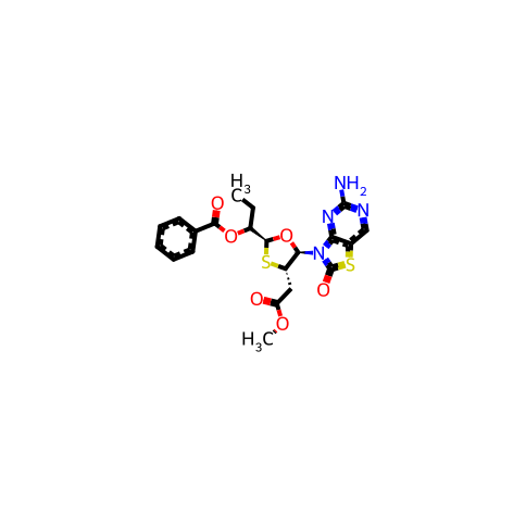 CCC(OC(=O)c1ccccc1)[C@H]1O[C@@H](n2c(=O)sc3cnc(N)nc32)[C@H](CC(=O)OC)S1